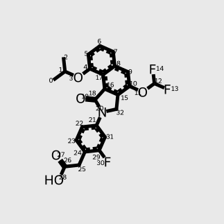 CC(C)Oc1cccc2cc(OC(F)F)c3c(c12)C(=O)N(c1ccc(CC(=O)O)c(F)c1)C3